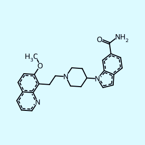 COc1ccc2cccnc2c1CCN1CCC(n2ccc3ccc(C(N)=O)cc32)CC1